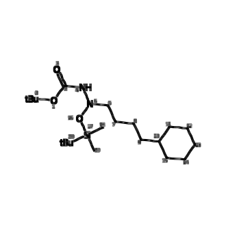 CC(C)(C)OC(=O)NN(CCCCC1CCCCC1)O[Si](C)(C)C(C)(C)C